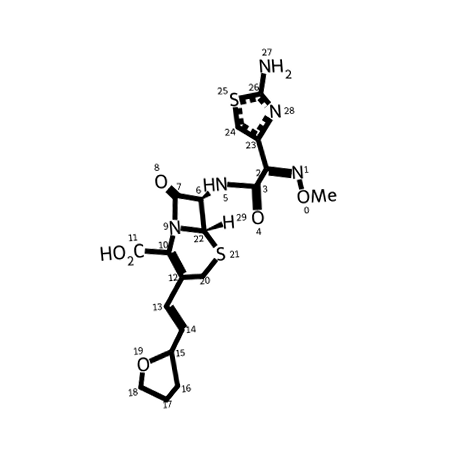 CO/N=C(\C(=O)N[C@@H]1C(=O)N2C(C(=O)O)=C(/C=C/C3CCCO3)CS[C@@H]12)c1csc(N)n1